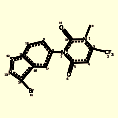 Cn1c(C(F)(F)F)cc(=O)n(-c2ccc3snc(Br)c3c2)c1=O